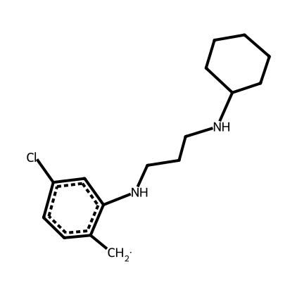 [CH2]c1ccc(Cl)cc1NCCCNC1CCCCC1